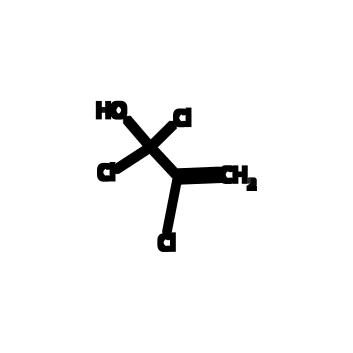 C=C(Cl)C(O)(Cl)Cl